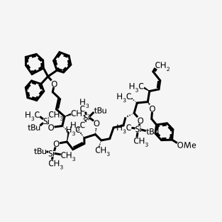 C=C/C=C\[C@H](C)[C@H](OCc1ccc(OC)cc1)[C@@H](C)[C@@H](CCCC[C@H](C)[C@@H](O[Si](C)(C)C(C)(C)C)[C@@H](C)/C=C\[C@H](C[C@H](O[Si](C)(C)C(C)(C)C)[C@H](C)/C=C/COC(c1ccccc1)(c1ccccc1)c1ccccc1)O[Si](C)(C)C(C)(C)C)O[Si](C)(C)C(C)(C)C